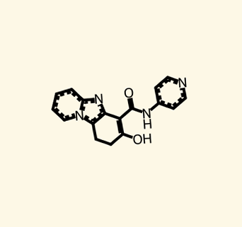 O=C(Nc1ccncc1)C1=C(O)CCc2c1nc1ccccn21